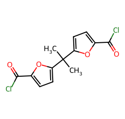 CC(C)(c1ccc(C(=O)Cl)o1)c1ccc(C(=O)Cl)o1